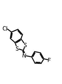 Fc1ccc(/N=c2\sc3ccc(Cl)cc3s2)cc1